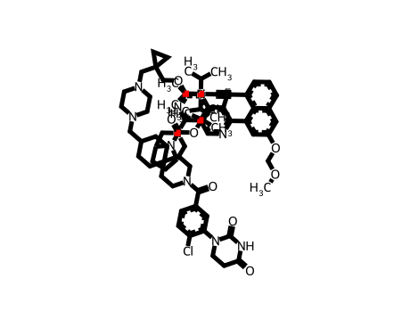 COCOc1cc(-c2ncc3c(N4CC5CCC(C4)N5C(=O)OC(C)(C)C)nc(OCC4(CN5CCN(CC6CCC7(CC6)CCN(C(=O)c6ccc(Cl)c(N8CCC(=O)NC8=O)c6)CC7)CC5)CC4)nc3c2F)c2c(C#C[Si](C(C)C)(C(C)C)C(C)C)cccc2c1